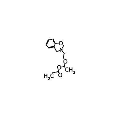 C=CC(=O)OC(C)OCCN1COc2ccccc2C1